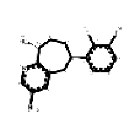 Nc1cnc2c(c1)C[C@H](c1cccc(F)c1F)CC[C@H]2O